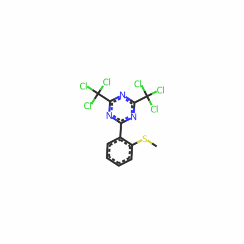 CSc1ccccc1-c1nc(C(Cl)(Cl)Cl)nc(C(Cl)(Cl)Cl)n1